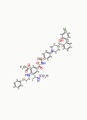 O=C(O)NCC[C@H](CSc1ccccc1)Nc1ccc(S(=O)(=O)NC(=O)c2ccc(N3CCC([C@H](O)c4ccccc4-c4ccc(Cl)cc4)CC3)cc2)cc1S(=O)(=O)C(F)(F)F